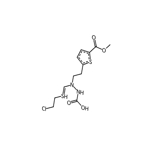 COC(=O)c1ccc(CCN(C=[SH]CCCl)NC(=O)O)s1